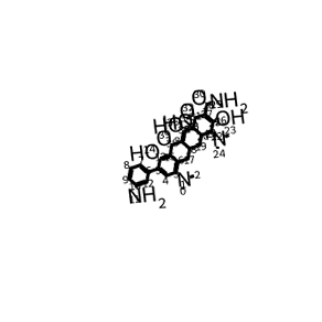 CN(C)c1cc(-c2cccc(N)c2)c(O)c2c1CC1CC3[C@H](N(C)C)C(O)=C(C(N)=O)C(=O)[C@@]3(O)C(O)=C1C2=O